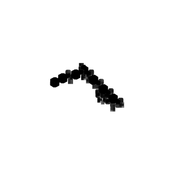 COc1c(NC(=O)c2ccc(NC(=O)c3ccc(NC(=O)C(CC#N)NC(=O)c4ccc(NC(=O)c5ccc(-c6ccccc6)cc5)cc4)cc3)c(OC)c2O)ccc(C(=O)O)c1O